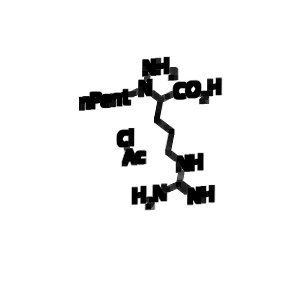 CC(=O)Cl.CCCCCN(N)C(CCCNC(=N)N)C(=O)O